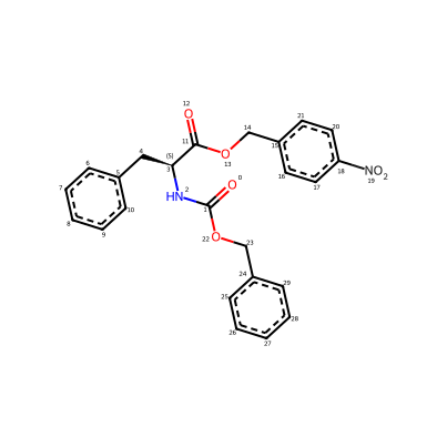 O=C(N[C@@H](Cc1ccccc1)C(=O)OCc1ccc([N+](=O)[O-])cc1)OCc1ccccc1